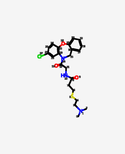 CN(C)CCSCCC(=O)NCC(=O)N1Cc2ccccc2Oc2ccc(Cl)cc21